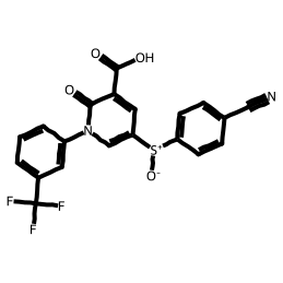 N#Cc1ccc([S+]([O-])c2cc(C(=O)O)c(=O)n(-c3cccc(C(F)(F)F)c3)c2)cc1